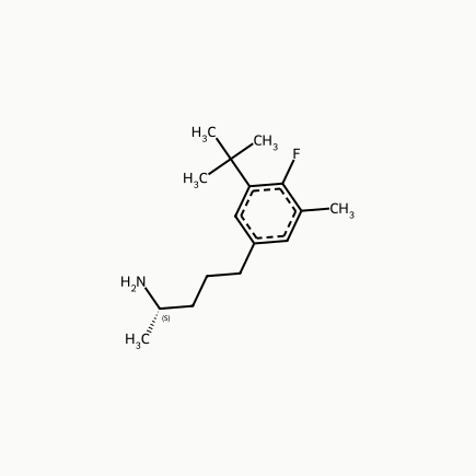 Cc1cc(CCC[C@H](C)N)cc(C(C)(C)C)c1F